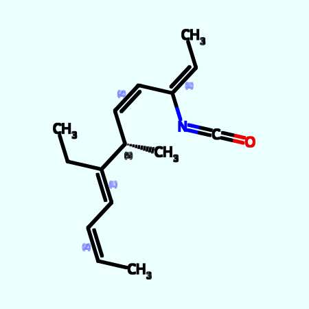 C/C=C\C=C(/CC)[C@@H](C)/C=C\C(=C/C)N=C=O